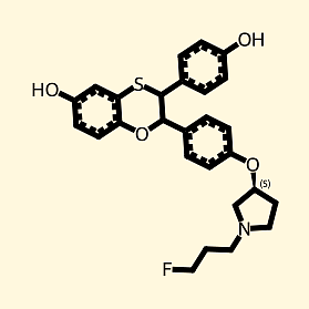 Oc1ccc(C2Sc3cc(O)ccc3OC2c2ccc(O[C@H]3CCN(CCCF)C3)cc2)cc1